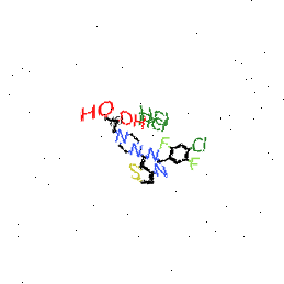 Cl.Cl.OC[C@@H](O)CN1CCN(c2nc(-c3cc(F)c(Cl)cc3F)nc3ccsc23)CC1